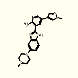 CN1CCN(c2ccc3[nH]c(-c4cc(-c5cnn(C)c5)cnc4N)nc3c2)CC1